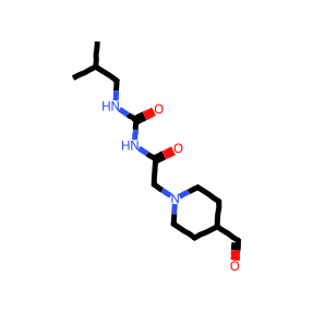 CC(C)CNC(=O)NC(=O)CN1CCC(C=O)CC1